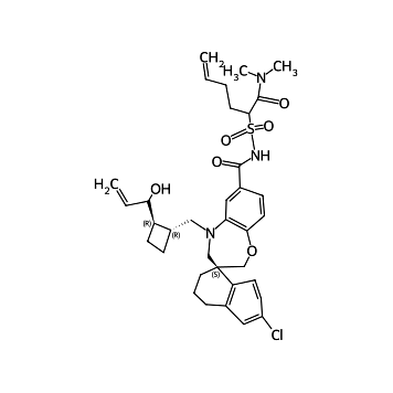 C=CCCC(C(=O)N(C)C)S(=O)(=O)NC(=O)c1ccc2c(c1)N(C[C@@H]1CC[C@H]1C(O)C=C)C[C@@]1(CCCc3cc(Cl)ccc31)CO2